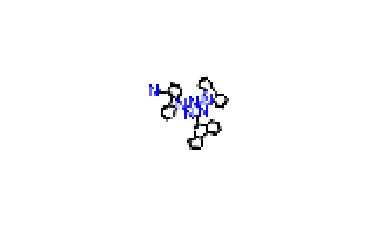 N#Cc1cccc2c1c1ccccc1n2-c1nc(-c2cc3ccccc3c3ccccc23)nc(-n2c3ccccc3c3ccccc32)n1